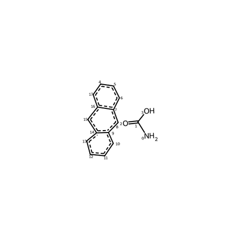 NC(=O)O.c1ccc2cc3ccccc3cc2c1